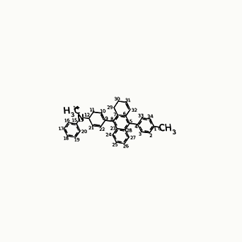 Cc1ccc(-c2c3c(c(C4=CCC(N(C)c5ccccc5)C=C4)c4ccccc24)CCC=C3)cc1